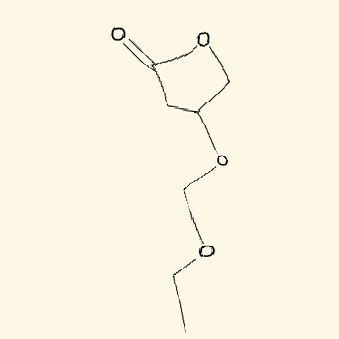 CCOCOC1COC(=O)C1